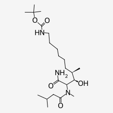 CC(C)CC(=O)N(C)C(C(N)=O)[C@H](O)[C@H](C)CCCCCCNC(=O)OC(C)(C)C